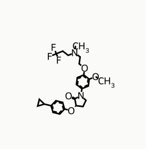 COc1cc(N2CC[C@H](Oc3ccc(C4CC4)cc3)C2=O)ccc1OCCN(C)CCC(F)(F)F